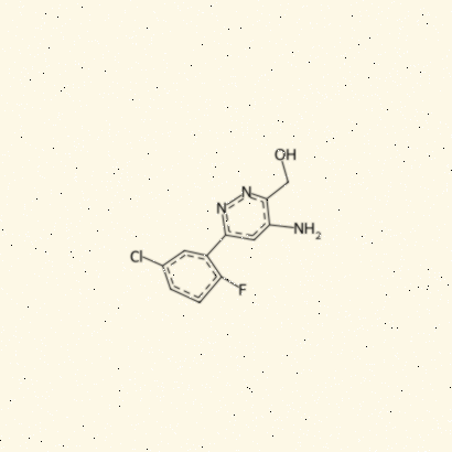 Nc1cc(-c2cc(Cl)ccc2F)nnc1CO